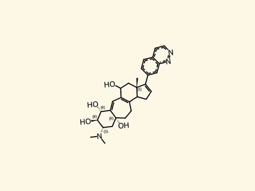 CN(C)[C@H]1C[C@]2(O)CCC3=C(C=C2[C@@H](O)[C@@H]1O)C(O)C[C@]1(C)C(c2ccc4ccnnc4c2)=CCC31